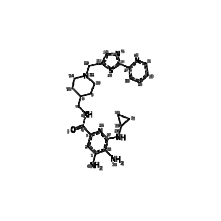 Nc1cc(C(=O)NCC2CCN(Cc3cnc(-c4ccccn4)s3)CC2)nc(NC2CC2)c1N